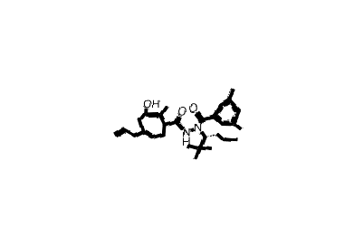 C=CCC1=CCC(C(=O)NN(C(=O)c2cc(C)cc(C)c2)[C@H](CCC)C(C)(C)C)C(C)=C(O)C1